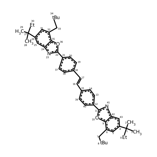 CCC(C)(C)c1cc(CC(C)(C)C)c2oc(-c3ccc(C=Cc4ccc(-c5nc6cc(C(C)(C)CC)cc(CC(C)(C)C)c6o5)cc4)cc3)nc2c1